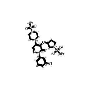 CCCS(=O)(=O)N1CCC(Oc2c(N3CCN(S(=O)(=O)C(C)C)CC3)cnn(-c3cccc(Cl)c3)c2=O)C1